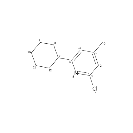 Cc1cc(Cl)nc(C2CCCCC2)c1